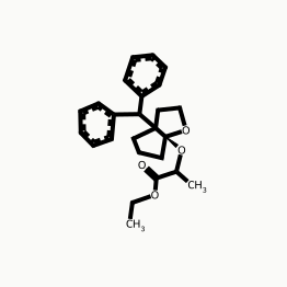 CCOC(=O)C(C)O[C@@]12CCCC1(C(c1ccccc1)c1ccccc1)CCO2